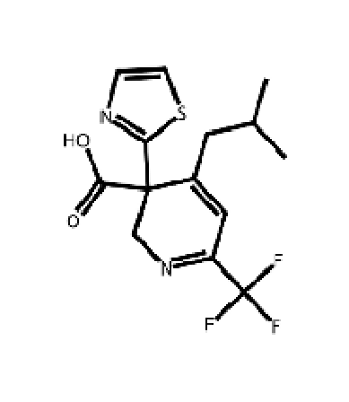 CC(C)CC1=CC(C(F)(F)F)=NCC1(C(=O)O)c1nccs1